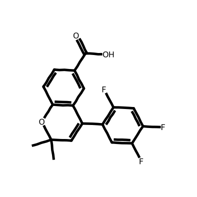 CC1(C)C=C(c2cc(F)c(F)cc2F)c2cc(C(=O)O)ccc2O1